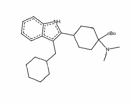 CCCCC1(N(C)C)CCC(c2[nH]c3ccccc3c2CC2CCCCC2)CC1